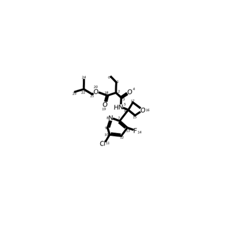 CCC(C(=O)NC1(c2ncc(Cl)cc2F)COC1)C(=O)OCC(C)C